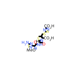 CON=C(C(=O)NC1C(=O)N2C(C(=O)O)=C(CSc3nc(C(=O)O)ns3)CS[C@@H]12)c1nsc(N)n1